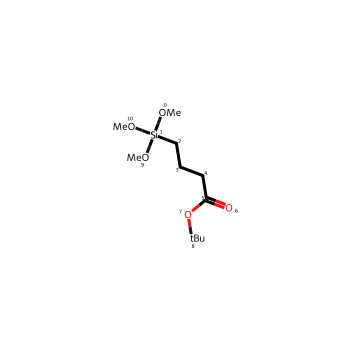 CO[Si](CCCC(=O)OC(C)(C)C)(OC)OC